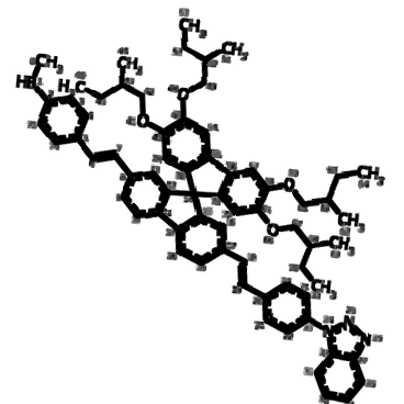 CBc1ccc(/C=C/c2ccc3c(c2)C2(c4cc(/C=C/c5ccc(-n6nnc7ccccc76)cc5)ccc4-3)c3cc(OCC(C)CC)c(OCC(C)CC)cc3-c3cc(OCC(C)CC)c(OCC(C)CC)cc32)cc1